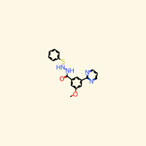 COc1cc(C(=O)NNSc2ccccc2)cc(-c2ncccn2)c1